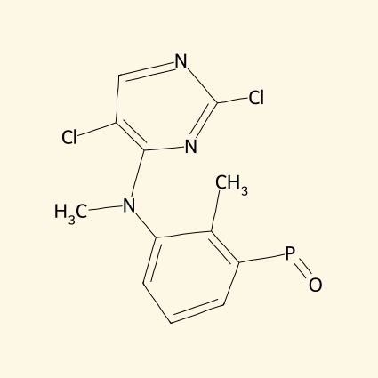 Cc1c(P=O)cccc1N(C)c1nc(Cl)ncc1Cl